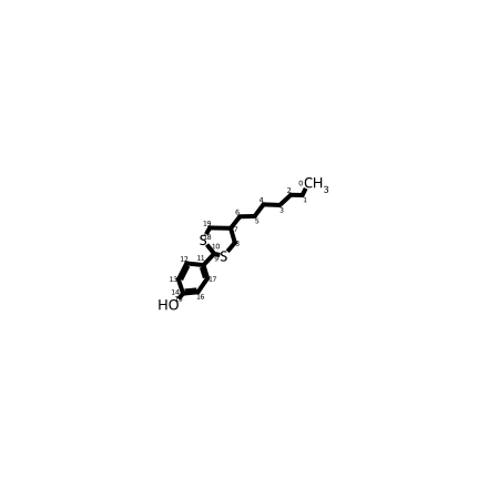 CCCCCCCC1CSC(c2ccc(O)cc2)SC1